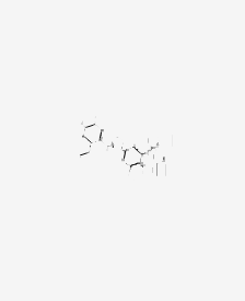 C=Cc1ccccc1COc1cc(C)c(O)c(C(=O)O)c1